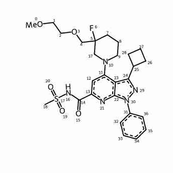 COCCOCC1(F)CCCN(c2cc(C(=O)NS(C)(=O)=O)nc3c2c(C2CCC2)nn3-c2ccccc2)C1